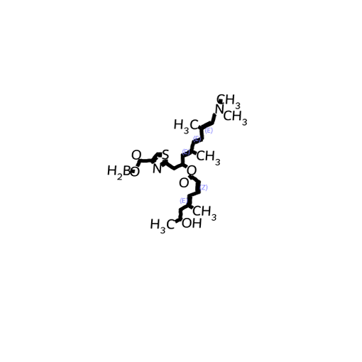 BOC(=O)c1csc(CC(/C=C(C)/C=C/C(C)=C/CN(C)C)OC(=O)/C=C\C=C(/C)CC(C)O)n1